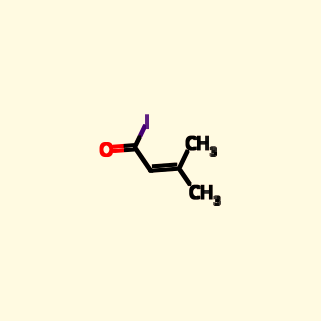 CC(C)=CC(=O)I